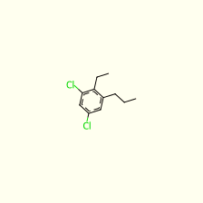 CCCc1cc(Cl)cc(Cl)c1CC